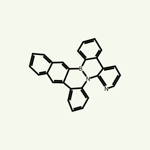 c1ccc2c(c1)B1c3cc4ccccc4cc3-c3ccccc3N1c1ncccc1-2